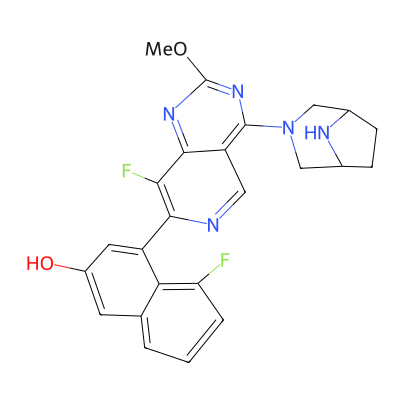 COc1nc(N2CC3CCC(C2)N3)c2cnc(-c3cc(O)cc4cccc(F)c34)c(F)c2n1